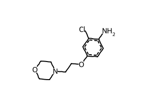 Nc1ccc(OCCN2CCOCC2)cc1Cl